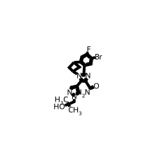 CC(C)(O)Cn1cc(-c2c(C(N)=O)nc3n2C2CC(C2)c2cc(F)c(Br)cc2-3)cn1